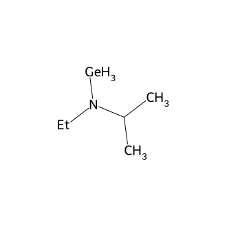 CC[N]([GeH3])C(C)C